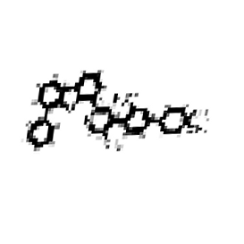 Cc1cc(C2CCC(C)(C)CC2)ccc1-c1cc(-c2cccc3c2oc2c(-c4ccccc4)cccc23)ncc1C